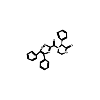 O=C1NCCN(C(=O)c2nnc(-c3ccccc3)c(-c3ccccc3)n2)[C@H]1c1ccccc1